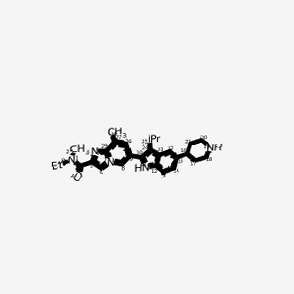 CCN(C)C(=O)c1cn2cc(-c3[nH]c4ccc(C5CCNCC5)cc4c3C(C)C)cc(C)c2n1